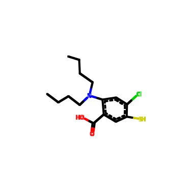 CCCCN(CCCC)c1cc(Cl)c(S)cc1C(=O)O